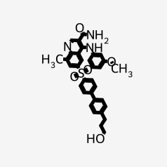 COc1cccc(Nc2c(C(N)=O)cnc3c(C)cc(S(=O)(=O)c4ccc(-c5ccc(CCCO)cc5)cc4)cc23)c1